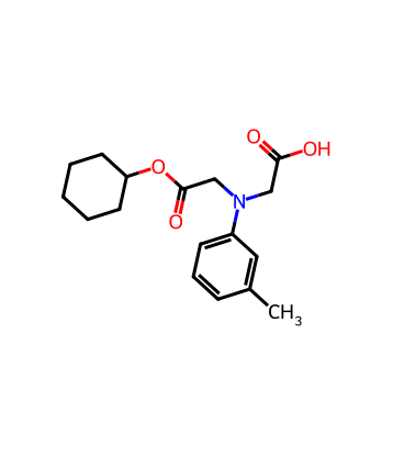 Cc1cccc(N(CC(=O)O)CC(=O)OC2CCCCC2)c1